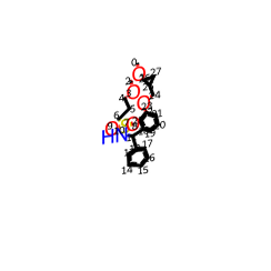 COCOCCCS(=O)(=O)NC(c1ccccc1)c1cccc(OCC2CC2)c1